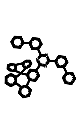 c1ccc(-c2cccc(-c3nc(-c4cccc(-c5ccccc5)c4)nc(-c4ccc5c(c4)C4(c6ccccc6-c6ccccc6-5)c5ccccc5-c5ccccc54)n3)c2)cc1